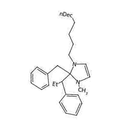 CCCCCCCCCCCCCCN1C=CN(C)C1(Cc1ccccc1)C(CC)c1ccccc1